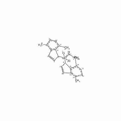 CCC[SiH]=[Hf]([Cl])([Cl])([CH]1C=Cc2c(C)ccc(C)c21)[CH]1C=Cc2c(C)ccc(C)c21